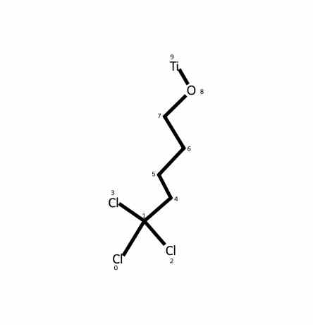 ClC(Cl)(Cl)CCCC[O][Ti]